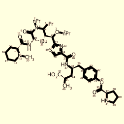 CCCO[C@H](CC(C(C)C)N(CCC)C(=O)[C@@H](NC(=O)[C@H]1CCCCN1C)[C@@H](C)CC)c1nc(C(=O)N[C@@H](Cc2ccc(OC(=O)[C@H]3CCCN3)cc2)C[C@H](C)C(=O)O)cs1